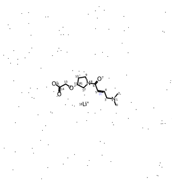 CN(C)C/C=C/C(=O)N1CC[C@@H](OCC(=O)[O-])C1.[Li+]